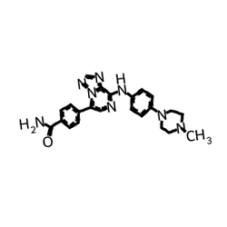 CN1CCN(c2ccc(Nc3ncc(-c4ccc(C(N)=O)cc4)n4ncnc34)cc2)CC1